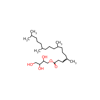 CC(=CCC(=O)OCC(O)C(O)CO)CCCC(C)CCCC(C)CCCC(C)C